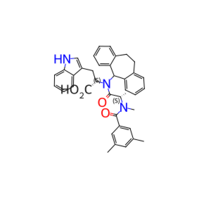 Cc1cc(C)cc(C(=O)N(C)[C@@H](C)C(=O)N(C2c3ccccc3CCc3ccccc32)[C@@H](Cc2c[nH]c3ccccc23)C(=O)O)c1